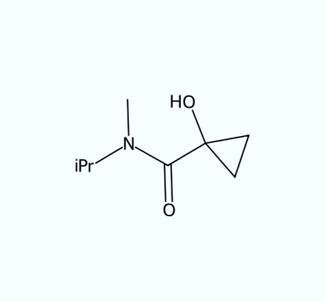 CC(C)N(C)C(=O)C1(O)CC1